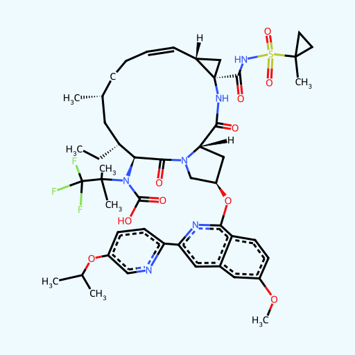 CC[C@@H]1C[C@H](C)CC/C=C\[C@@H]2C[C@@]2(C(=O)NS(=O)(=O)C2(C)CC2)NC(=O)[C@@H]2C[C@@H](Oc3nc(-c4ccc(OC(C)C)cn4)cc4cc(OC)ccc34)CN2C(=O)[C@H]1N(C(=O)O)C(C)(C)C(F)(F)F